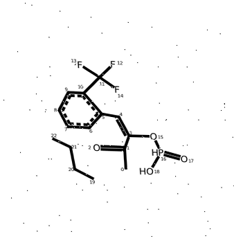 CC(=O)/C(=C\c1ccccc1C(F)(F)F)O[PH](=O)O.CCCC